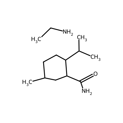 CC1CCC(C(C)C)C(C(N)=O)C1.CCN